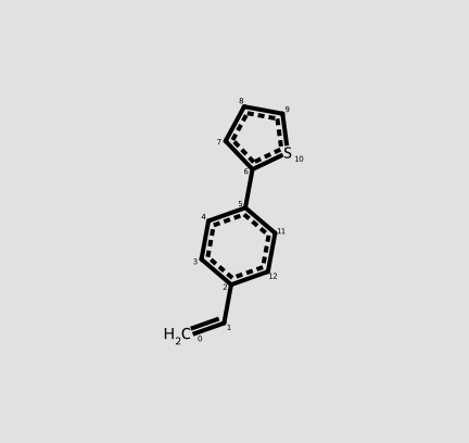 C=Cc1ccc(-c2cccs2)cc1